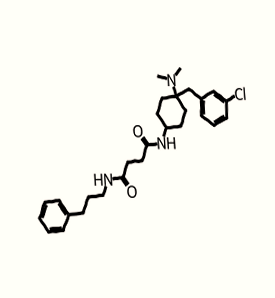 CN(C)C1(Cc2cccc(Cl)c2)CCC(NC(=O)CCC(=O)NCCCc2ccccc2)CC1